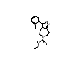 CCOC(=O)N1CCc2noc(-c3ccccc3C)c2CC1